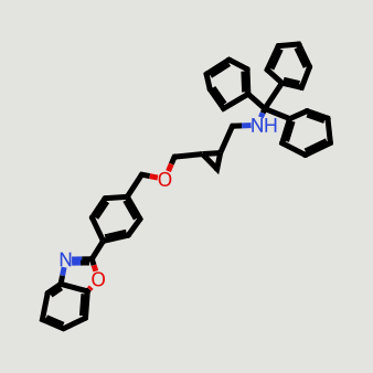 c1ccc(C(NCC2CC2COCc2ccc(-c3nc4ccccc4o3)cc2)(c2ccccc2)c2ccccc2)cc1